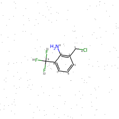 Nc1c(CCl)cccc1C(F)(F)F